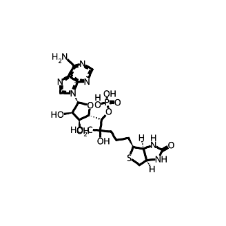 Nc1ncnc2c1ncn2[C@@H]1O[C@H](C(OP(=O)(O)O)C(O)(CCC[C@@H]2SC[C@@H]3NC(=O)N[C@@H]32)C(=O)O)[C@@H](O)[C@H]1O